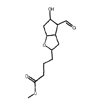 COC(=O)CCCC1CC2C(CC(O)C2C=O)O1